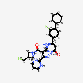 O=C(c1c(-c2ncccn2)nn2c(=O)cc(-c3ccc(C4CCCCC4)c(F)c3)[nH]c12)N1CC(CF)C1